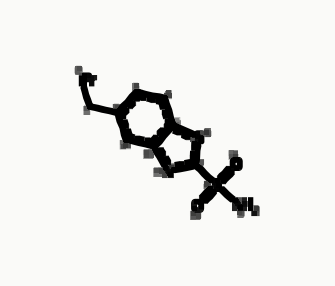 CC(C)Cc1ccc2sc(S(N)(=O)=O)nc2c1